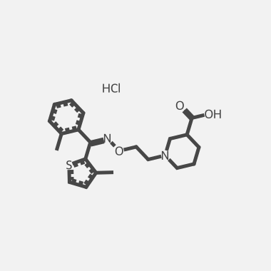 Cc1ccccc1/C(=N/OCCN1CCCC(C(=O)O)C1)c1sccc1C.Cl